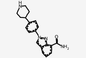 NC(=O)c1cccc2cn(-c3ccc(C4CCNCC4)cc3)nc12